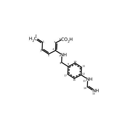 C=C/C=C\C(=C\C(=O)O)NCc1ccc(NC=N)cc1